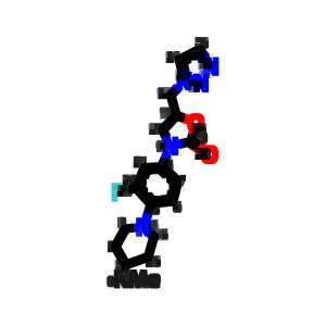 CNC1CCN(c2ccc(N3CC(Cn4ccnn4)OC3=O)cc2F)CC1